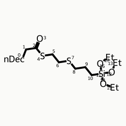 CCCCCCCCCCCC(=O)SCCSCCC[Si](OCC)(OCC)OCC